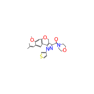 COc1cc2c(cc1C=C(C)C)-c1c(c(C(=O)N3CCOCC3)nn1-c1ccsc1)CO2